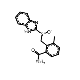 Cc1cccc(C(N)=O)c1C[S+]([O-])c1nc2ccccc2[nH]1